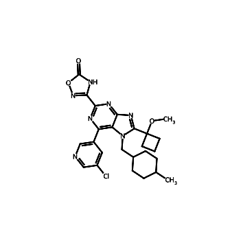 COC1(c2nc3nc(-c4noc(=O)[nH]4)nc(-c4cncc(Cl)c4)c3n2CC2CCC(C)CC2)CCC1